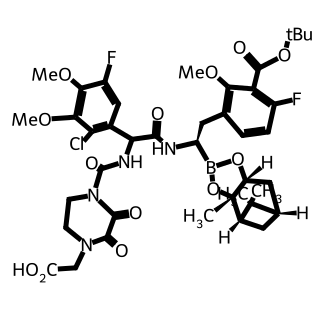 COc1c(F)cc(C(NC(=O)N2CCN(CC(=O)O)C(=O)C2=O)C(=O)N[C@@H](Cc2ccc(F)c(C(=O)OC(C)(C)C)c2OC)B2O[C@@H]3C[C@@H]4C[C@@H](C4(C)C)[C@]3(C)O2)c(Cl)c1OC